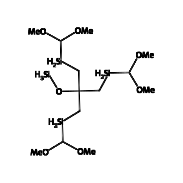 COC(OC)[SiH2]CC(C[SiH2]C(OC)OC)(C[SiH2]C(OC)OC)O[SiH3]